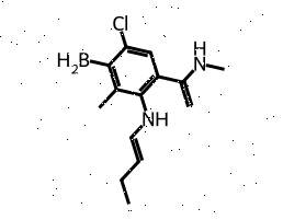 Bc1c(Cl)cc(C(=C)NC)c(N/C=C/CC)c1C